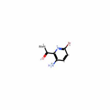 CNC(=O)c1nc(Br)ccc1N